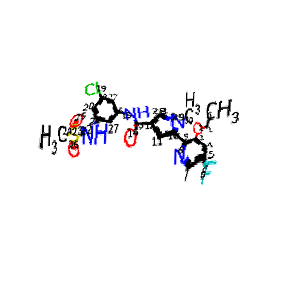 CCOc1cc(F)cnc1-c1cc(C(=O)Nc2cc(Cl)cc(NS(C)(=O)=O)c2)cn1C